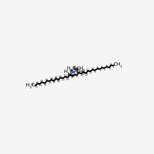 CCCCCCCCCCCCCCCCCC[SiH](CCCCCCCCCCCCCCCCCC)N(C)[Si](C)(C)C